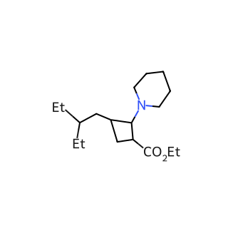 CCOC(=O)C1CC(CC(CC)CC)C1N1CCCCC1